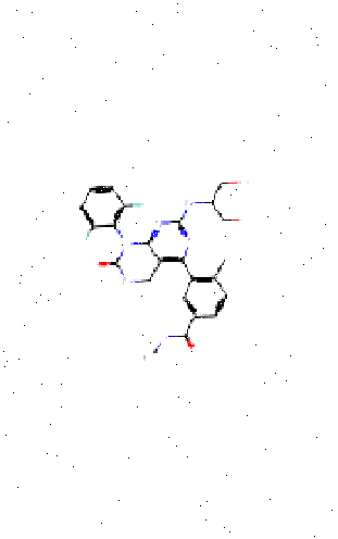 Cc1ccc(C(=O)NC(C)C)cc1-c1nc(NC(CO)CO)nc2c1CNC(=O)N2c1c(F)cccc1F